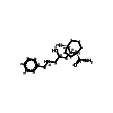 NC(=O)[C@]12C[CH]C[C@H](CC1)N2CC(O)CNCc1cccnc1